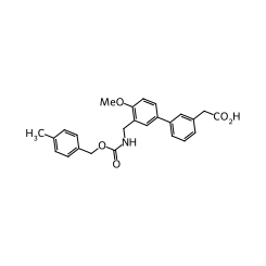 COc1ccc(-c2cccc(CC(=O)O)c2)cc1CNC(=O)OCc1ccc(C)cc1